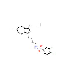 CC(C)c1ccc2c(CCCCNS(=O)(=O)c3ccc(Cl)c(Cl)c3)cc(C(=O)O)c-2cc1